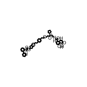 O=C(Nc1ccccc1-c1ccccc1)OC1CC2CN(CCc3ccc(CCOCCC(=O)N(CCNCC(O)c4ccc(O)c5[nH]c(=O)ccc45)C4CCCC4)cc3)CC2C1